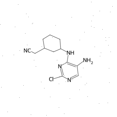 N#CCC1CCCC(Nc2nc(Cl)ncc2N)C1